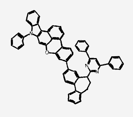 c1ccc(-c2cc(-c3ccccc3)nc(C3CCc4ccccc4-c4ccc(-c5ccc6c(c5)Oc5cc7c(c8cccc-6c58)c5ccccc5n7-c5ccccc5)cc43)n2)cc1